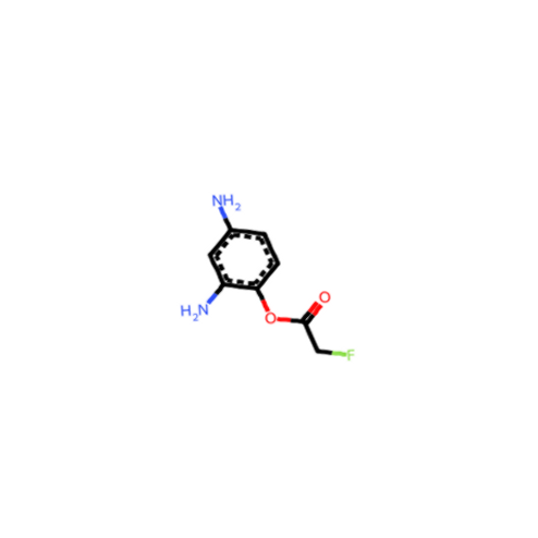 Nc1ccc(OC(=O)CF)c(N)c1